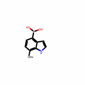 COc1ccc(B(O)O)c2cc[nH]c12